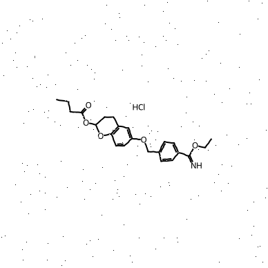 CCCC(=O)OC1CCc2cc(OCc3ccc(C(=N)OCC)cc3)ccc2O1.Cl